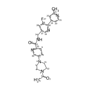 CC(=O)N1CCN(c2ccc(C(=O)NCc3cnc(-c4ccnc(C)c4)c(F)c3)nc2)CC1